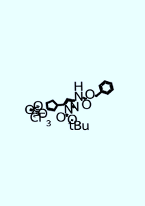 CC(C)(C)OC(=O)n1nc(NC(=O)OCc2ccccc2)cc1C1C=C(OS(=O)(=O)C(F)(F)F)CC1